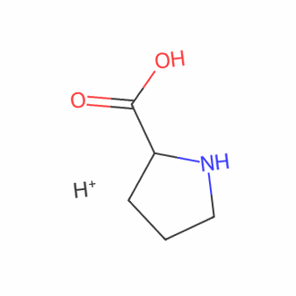 O=C(O)C1CCCN1.[H+]